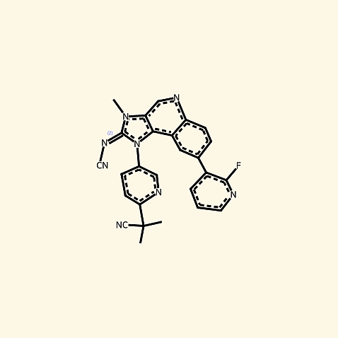 Cn1/c(=N/C#N)n(-c2ccc(C(C)(C)C#N)nc2)c2c3cc(-c4cccnc4F)ccc3ncc21